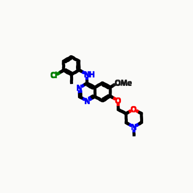 COc1cc2c(Nc3cccc(Cl)c3C)ncnc2cc1OCC1CN(C)CCO1